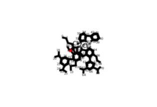 CCCCC1=Cc2c(ccc(CCC)c2-c2cc(C(C)C)cc(C(C)C)c2)[CH]1[Zr]([Cl])([Cl])([c]1cccc2c1[SiH2]c1ccccc1-2)[CH]1C(CCCC)=Cc2c1ccc(CCC)c2-c1cc(C(C)C)cc(C(C)C)c1